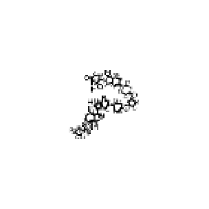 O=C1CCC(N2Cc3cc(N4CCC(O[C@H]5CC[C@@H](Oc6ccc(-c7cnc8[nH]cc(C(=O)c9c(F)ccc(NS(=O)(=O)N%10CC[C@@H](F)C%10)c9F)c8c7)cc6)C5)CC4)ccc3C2=O)C(=O)N1